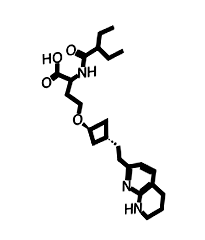 CCC(CC)C(=O)NC(CCO[C@H]1C[C@H](CCc2ccc3c(n2)NCCC3)C1)C(=O)O